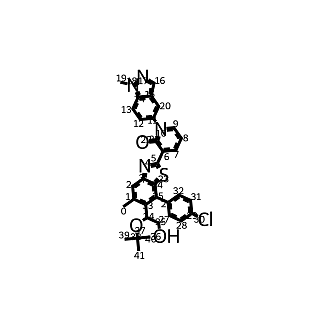 Cc1cc2nc(-c3cccn(-c4ccc5c(cnn5C)c4)c3=O)sc2c(-c2ccc(Cl)cc2)c1C(CO)OC(C)(C)C